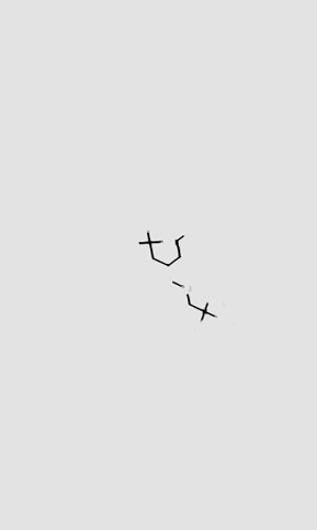 CC(C)(C)CNC[C@@H](CCO)CC(C)(C)C